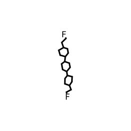 FCCC1CCC(C2CCC(C3CCC(CCF)CC3)CC2)CC1